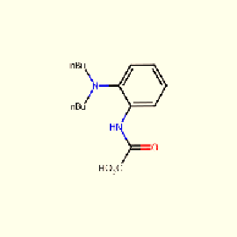 CCCCN(CCCC)c1ccccc1NC(=O)C(=O)O